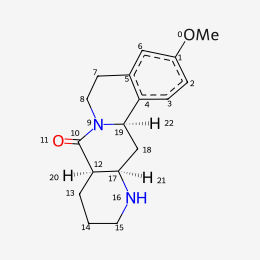 COc1ccc2c(c1)CCN1C(=O)[C@@H]3CCCN[C@@H]3C[C@H]21